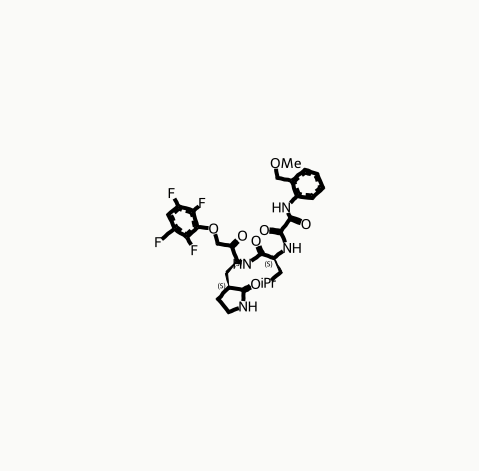 COCc1ccccc1NC(=O)C(=O)N[C@@H](CC(C)C)C(=O)N[C@@H](C[C@@H]1CCNC1=O)C(=O)COc1c(F)c(F)cc(F)c1F